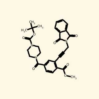 COC(=O)c1ccc(C(=O)N2CCN(C(=O)OC(C)(C)C)CC2)cc1C#CCN1C(=O)c2ccccc2C1=O